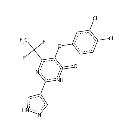 O=c1[nH]c(-c2cn[nH]c2)nc(C(F)(F)C(F)(F)F)c1Oc1ccc(Cl)c(Cl)c1